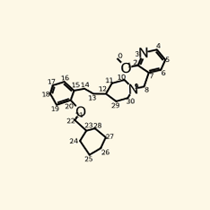 COc1ncccc1CN1CCC(CCc2ccccc2OCC2CCCCC2)CC1